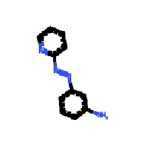 Nc1cccc(/N=N/c2ccccn2)c1